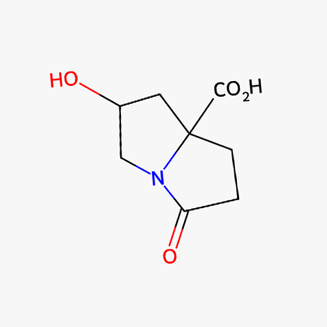 O=C1CCC2(C(=O)O)CC(O)CN12